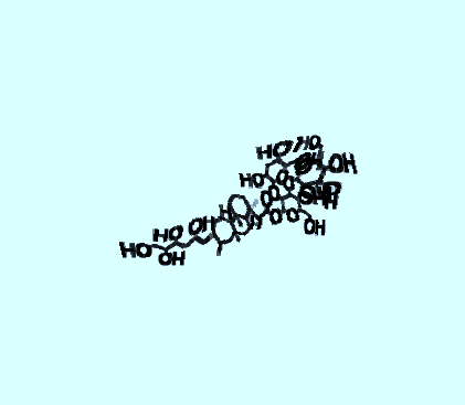 C=C1C[C@@]2(C)CC[C@@H]3[C@](C)(CC(=O)OC4OC(CO)C(O)C(OC5OC(CO)C(O)C(O)C5O)C4OC4OC(CO)C(O)CC4O)CCC[C@@]3(C)[C@@H]2CC[C@@H]1CC(O)CC(O)C(O)CO